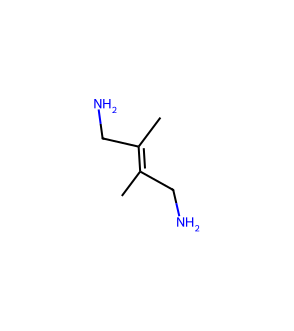 C/C(CN)=C(/C)CN